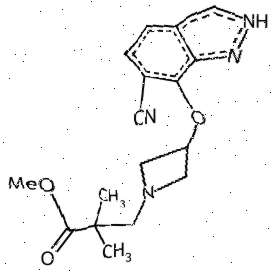 COC(=O)C(C)(C)CN1CC(Oc2c(C#N)ccc3c[nH]nc23)C1